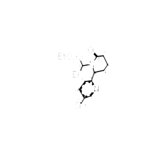 CCOC(=O)C(CC)N1C(=O)CCCC1c1ccc(Cl)cn1